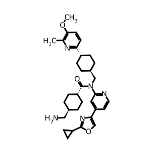 COc1ccc([C@H]2CC[C@H](CN(c3cc(-c4coc(C5CC5)n4)ccn3)C(=O)[C@H]3CC[C@H](CN)CC3)CC2)nc1C